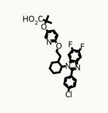 CC(C)(Oc1ccc(OCCC2CCCCC2n2c(-c3ccc(Cl)cc3)nc3cc(F)c(F)cc32)nc1)C(=O)O